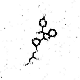 CC(C)NCC(O)COc1cccc(-c2oc3ccccc3c2C(=O)c2ccc(Cl)cc2)c1